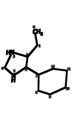 CCC1NCNC1C1CCCCC1